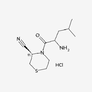 CC(C)CC(N)C(=O)N1CCSC[C@H]1C#N.Cl